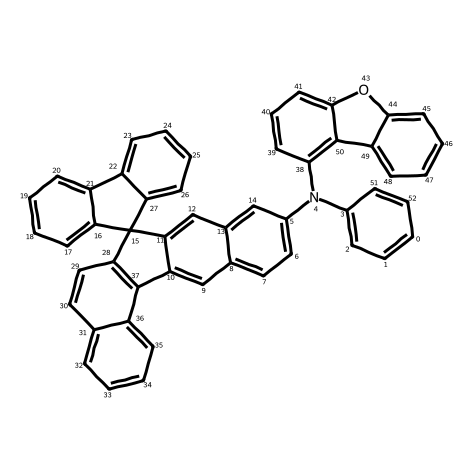 c1ccc(N(c2ccc3cc4c(cc3c2)C2(c3ccccc3-c3ccccc32)c2ccc3ccccc3c2-4)c2cccc3oc4ccccc4c23)cc1